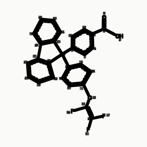 O=C(O)c1ccc(C2(c3ccc(OC(F)=C(F)F)cc3)c3ccccc3-c3ccccc32)cc1